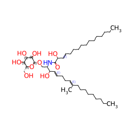 CCCCCCCCCCCC/C=C/C(O)C(=O)NC(CO[C@@H]1O[C@H](CO)[C@@H](O)[C@H](O)[C@H]1O)C(O)/C=C/CC/C=C(\C)CCCCCCCCC